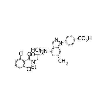 CCN(CC(O)(CNc1cc(C)cc2c1cnn2-c1ccc(C(=O)O)cc1)C(F)(F)F)C(=O)c1c(Cl)cccc1Cl